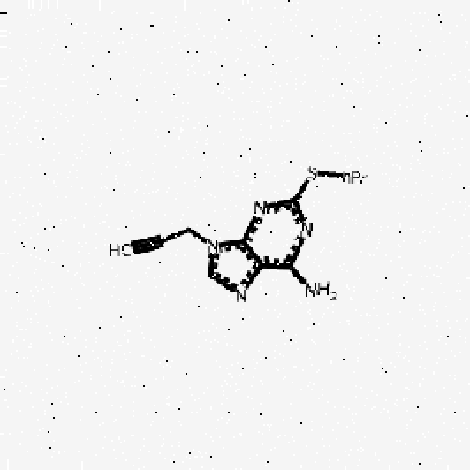 C#CCn1cnc2c(N)nc(SCCC)nc21